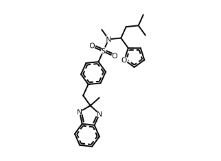 CC(C)CC(c1ccco1)N(C)S(=O)(=O)c1ccc(CC2(C)N=c3ccccc3=N2)cc1